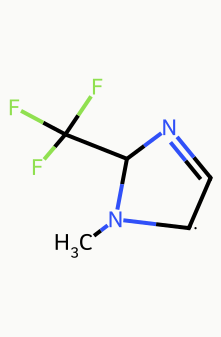 CN1[CH]C=NC1C(F)(F)F